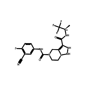 C[C@@H](NC(=O)C1=C2CN(C(=O)Nc3ccc(F)c(C#N)c3)CCN2NN1)C(F)(F)F